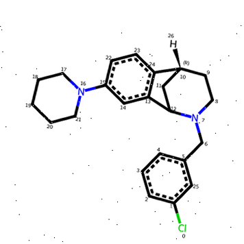 Clc1cccc(CN2CC[C@@H]3CC2c2cc(N4CCCCC4)ccc23)c1